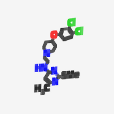 CSc1nc(C)cc(NCCN2CCC(Oc3ccc(Cl)c(Cl)c3)CC2)n1